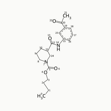 CCCCOC(=O)N1CCCC(C(=O)Nc2cccc(C(C)=O)c2)C1